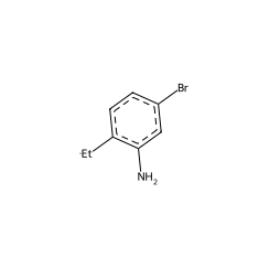 C[CH]c1ccc(Br)cc1N